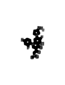 Cl.NC1CCN(c2cc3c(cc2F)c(=O)c(C(=O)C[N+](=O)[O-])cn3-c2ccc(F)cc2F)C1